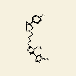 Cn1cc(-c2nnc(SCCCN3CC4CC4(c4ccc(Br)cc4)C3)n2C)nn1